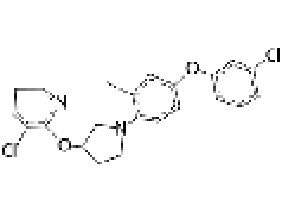 Cc1cc(Oc2cccc(Cl)c2)ccc1N1CCC(Oc2ncccc2Cl)C1